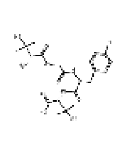 CC(C)(S)[C@@H](N)C(=O)NCC(=O)NC(Cc1ccc(Cl)cc1)C(=O)N[C@@H](C(=O)O)C(C)(C)S